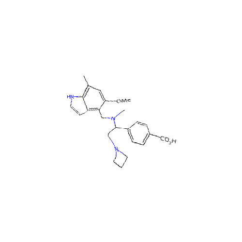 COc1cc(C)c2[nH]ccc2c1CN(C)C(CN1CCC1)c1ccc(C(=O)O)cc1